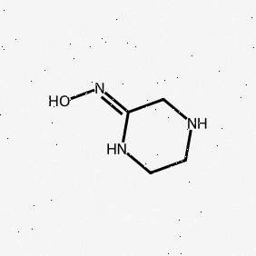 O/N=C1/CNCCN1